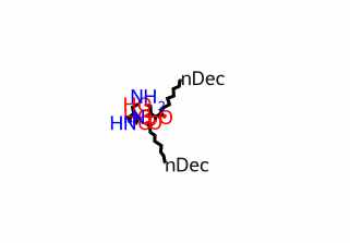 CCCCCCCCCCCCCCCCCC(=O)OC(C(=O)CCCCCCCCCCCCCCCCC)C(O)CO.NCCc1c[nH]cn1